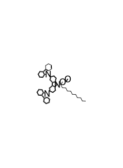 CCCCCCCCCCC(OC=O)n1c2ccc(-n3c4c(c5ccccc53)CCC=C4)cc2c2cc(-n3c4ccccc4c4ccccc43)ccc21